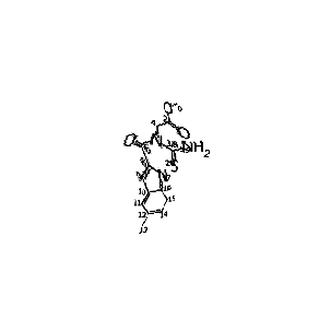 COC(=O)CN(C(=O)C1=CC2=CC(C)=CCC2=N1)C(N)=S